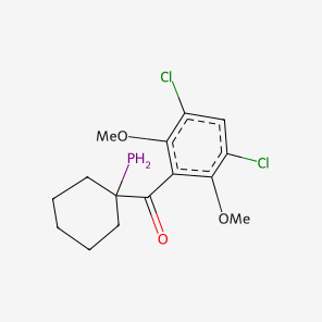 COc1c(Cl)cc(Cl)c(OC)c1C(=O)C1(P)CCCCC1